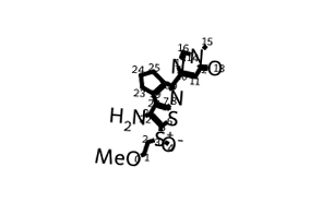 COCC[S+]([O-])c1sc2nc(-c3cc(=O)n(C)cn3)c3c(c2c1N)CCC3